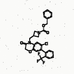 O=C(OCc1ccccc1)N1CC(CN2C(=O)COc3cc(-c4ccccc4C(F)(F)F)c(Cl)cc32)C1